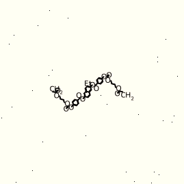 C=CC(=O)OCCCCOC(=O)Oc1ccc(C(=O)Oc2ccc3cc(OC(=O)c4ccc(OC(=O)OCCCCOC(=O)C=C)cc4)c(CC)cc3c2)cc1